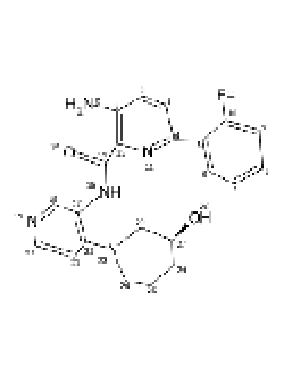 Nc1ccc(-c2ccccc2F)nc1C(=O)Nc1cnccc1N1CCC[C@H](O)C1